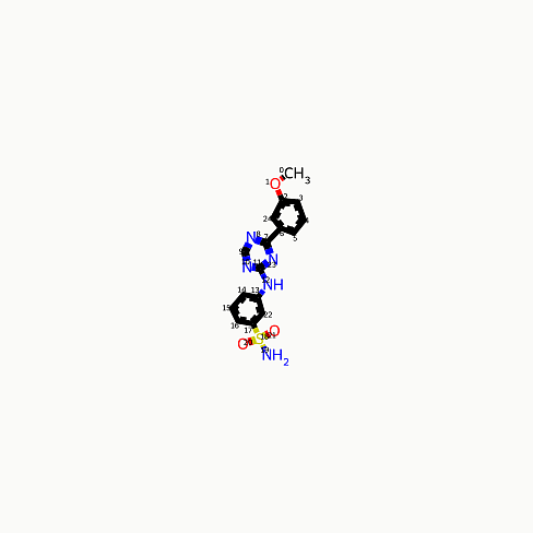 COc1cccc(-c2ncnc(Nc3cccc(S(N)(=O)=O)c3)n2)c1